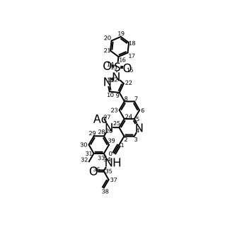 C#Cc1cnc2ccc(-c3cnn(S(=O)(=O)c4ccccc4)c3)cc2c1N(C(C)=O)c1ccc(C)c(NC(=O)C=C)c1